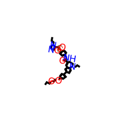 CCCOCCOc1ccc(-c2ccc3c(c2)C=C(C(=O)Nc2ccc(S(=O)(=O)Cc4cncn4CCC)cc2)CCN3CCC)cc1